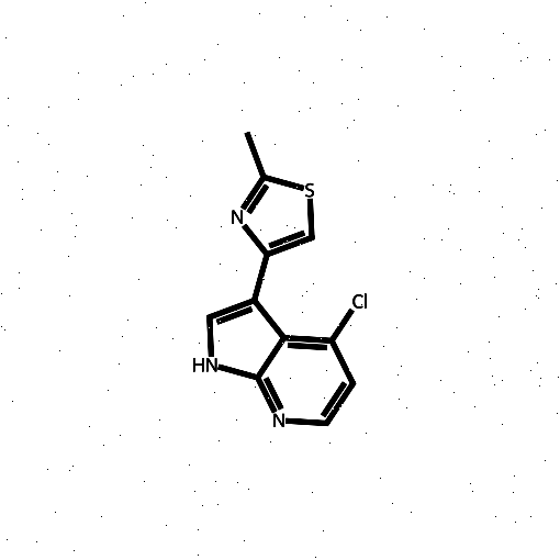 Cc1nc(-c2c[nH]c3nccc(Cl)c23)cs1